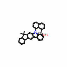 CC1(C)c2ccccc2-c2cc3c4ccc#cc4n(-c4cccc5cccc(BO)c45)c3cc21